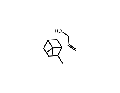 BCC=C.CC1CCC2CC1C2(C)C